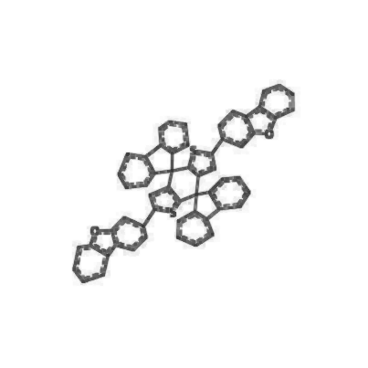 c1ccc2c(c1)-c1ccccc1C21c2cc(-c3ccc4c(c3)oc3ccccc34)sc2C2(c3ccccc3-c3ccccc32)c2cc(-c3ccc4c(c3)oc3ccccc34)sc21